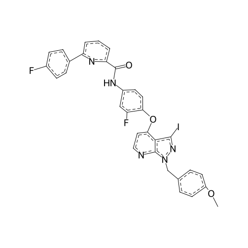 COc1ccc(Cn2nc(I)c3c(Oc4ccc(NC(=O)c5cccc(-c6ccc(F)cc6)n5)cc4F)ccnc32)cc1